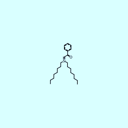 CCCCCCCC[SiH](CCCCCCCC)CC(=O)c1ccccc1